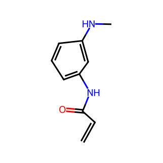 C=CC(=O)Nc1cccc(NC)c1